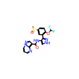 C[S+]([O-])c1ccc(OC(F)F)c(-c2n[nH]cc2NC(=O)c2cnn3cccnc23)c1